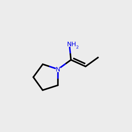 CC=C(N)N1CCCC1